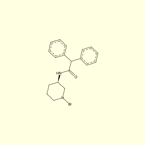 O=C(N[C@@H]1CCCN(Br)C1)C(c1ccccc1)c1ccccc1